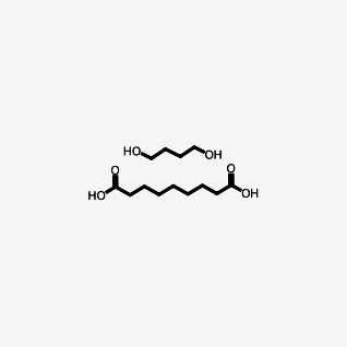 O=C(O)CCCCCCCC(=O)O.OCCCCO